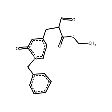 CCOC(=O)C(C=O)Cc1ccn(Cc2ccccc2)c(=O)c1